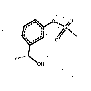 C[C@@H](O)c1cccc(OS(C)(=O)=O)c1